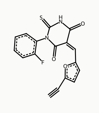 C#Cc1ccc(C=C2C(=O)NC(=S)N(c3ccccc3F)C2=O)o1